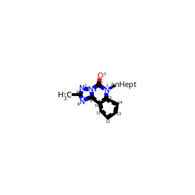 CCCCCCCn1c(=O)n2nc(C)nc2c2ccccc21